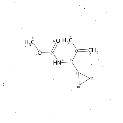 C=C(C)C(NC(=O)OC)C1CC1